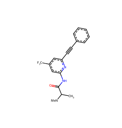 CNC(C)C(=O)Nc1cc(C(F)(F)F)cc(C#Cc2ccccc2)n1